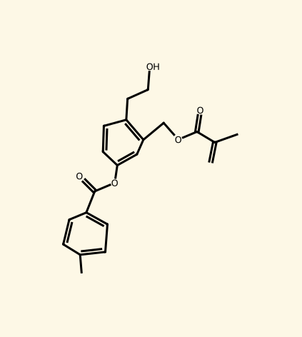 C=C(C)C(=O)OCc1cc(OC(=O)c2ccc(C)cc2)ccc1CCO